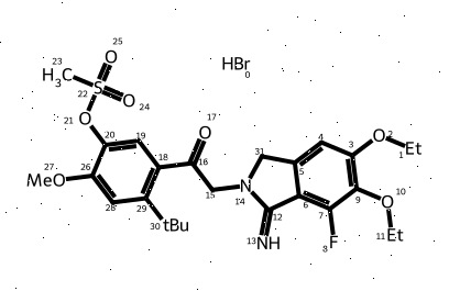 Br.CCOc1cc2c(c(F)c1OCC)C(=N)N(CC(=O)c1cc(OS(C)(=O)=O)c(OC)cc1C(C)(C)C)C2